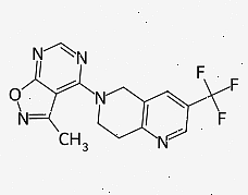 Cc1noc2ncnc(N3CCc4ncc(C(F)(F)F)cc4C3)c12